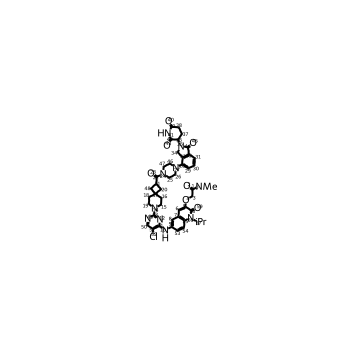 CNC(=O)COc1cc2cc(Nc3nc(N4CCC5(CC4)CC(C(=O)N4CCN(c6cccc7c6CN(C6CCC(=O)NC6=O)C7=O)CC4)C5)ncc3Cl)ccc2n(C(C)C)c1=O